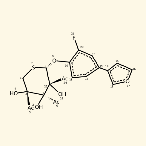 CC(=O)[C@]1(O)[C@@](O)(C(C)=O)CS[C@H](Oc2ccc(-c3ccoc3)cc2F)[C@@]1(O)C(C)=O